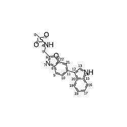 CS(=O)(=O)NCc1nc2ccc(-c3c[nH]c4ccccc34)cc2o1